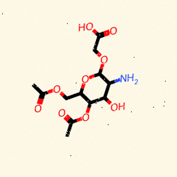 CC(=O)OCC1OC(OCC(=O)O)C(N)C(O)C1OC(C)=O